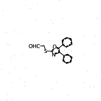 O=CCSc1nc(-c2ccccc2)c(-c2ccccc2)o1